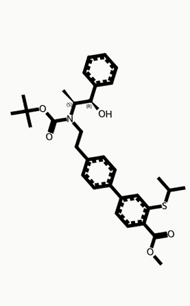 COC(=O)c1ccc(-c2ccc(CCN(C(=O)OC(C)(C)C)[C@@H](C)[C@H](O)c3ccccc3)cc2)cc1SC(C)C